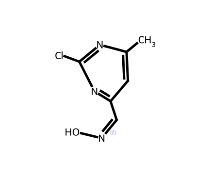 Cc1cc(/C=N\O)nc(Cl)n1